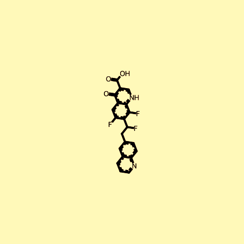 O=C(O)c1c[nH]c2c(F)c(C(F)Cc3ccc4ncccc4c3)c(F)cc2c1=O